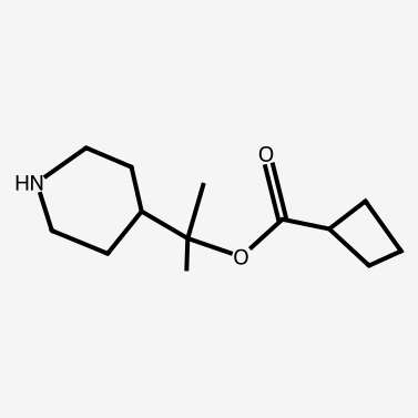 CC(C)(OC(=O)C1CCC1)C1CCNCC1